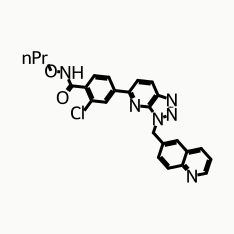 CCCONC(=O)c1ccc(-c2ccc3nnn(Cc4ccc5ncccc5c4)c3n2)cc1Cl